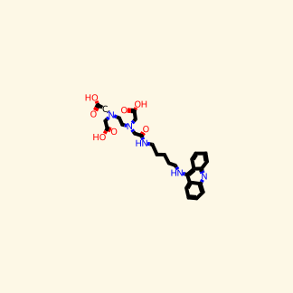 O=C(O)CN(CCN(CC(=O)O)CC(=O)NCCCCCNc1c2ccccc2nc2ccccc12)CC(=O)O